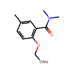 COCOc1ccc(C)cc1C(=O)N(C)C